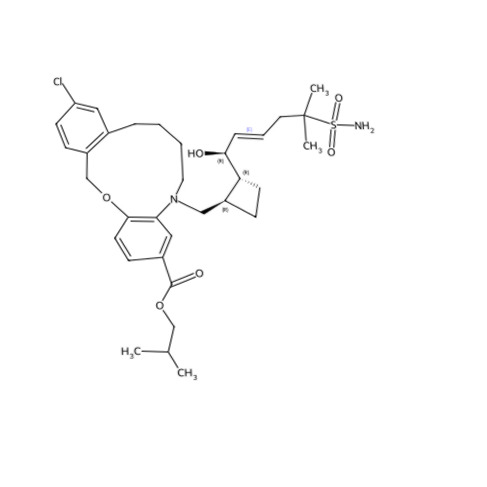 CC(C)COC(=O)c1ccc2c(c1)N(C[C@@H]1CC[C@H]1[C@@H](O)/C=C/CC(C)(C)S(N)(=O)=O)CCCCc1cc(Cl)ccc1CO2